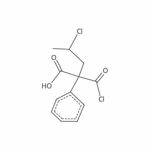 CC(Cl)CC(C(=O)O)(C(=O)Cl)c1ccccc1